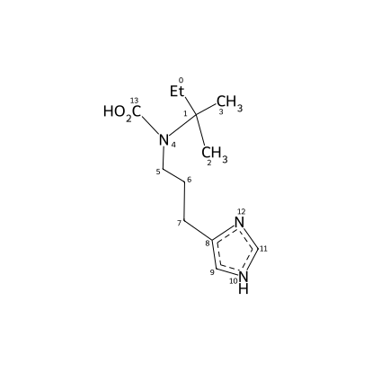 CCC(C)(C)N(CCCc1c[nH]cn1)C(=O)O